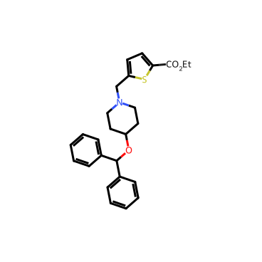 CCOC(=O)c1ccc(CN2CCC(OC(c3ccccc3)c3ccccc3)CC2)s1